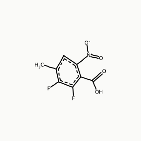 Cc1cc([N+](=O)[O-])c(C(=O)O)c(F)c1F